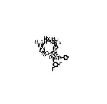 C[C@@H]1NC(=O)[C@H](C)N(C)C(=O)[C@@H]2CCCN2C(=O)[C@@H](NC(=O)[C@H](Cc2cc(F)cc(F)c2)NC(=O)/C=C/C2CC=CCC2)COC(=O)[C@@H]2CCCN2C1=O